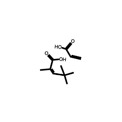 C=CC(=O)O.CC(=CC(C)(C)C)C(=O)O